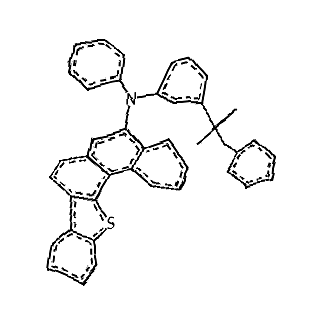 CC(C)(c1ccccc1)c1cccc(N(c2ccccc2)c2cc3ccc4c5ccccc5sc4c3c3ccccc23)c1